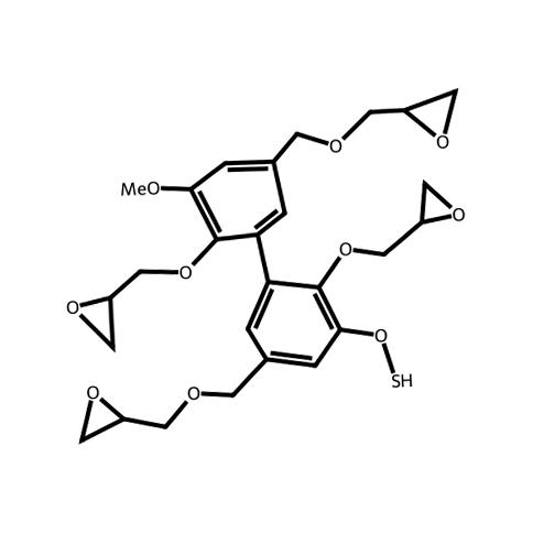 COc1cc(COCC2CO2)cc(-c2cc(COCC3CO3)cc(OS)c2OCC2CO2)c1OCC1CO1